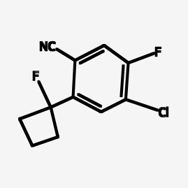 N#Cc1cc(F)c(Cl)cc1C1(F)CCC1